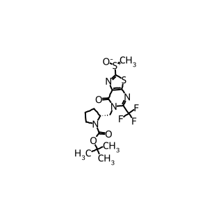 C[S+]([O-])c1nc2c(=O)n(C[C@H]3CCCN3C(=O)OC(C)(C)C)c(C(F)(F)F)nc2s1